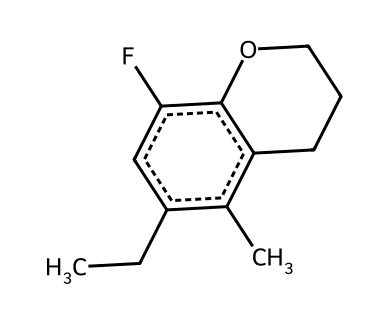 CCc1cc(F)c2c(c1C)CCCO2